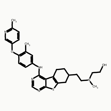 Cc1ccc(Oc2ccc(Nc3ncnc4sc5c(c34)CCC(CCN(C)CCO)C5)cc2C)cn1